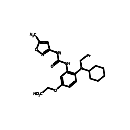 Cc1cc(NC(=O)Nc2cc(OCC(=O)O)ccc2N(CC(C)C)C2CCCCC2)no1